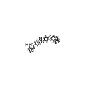 CC(Sc1nnn[nH]1)C1CCN(C(=O)Oc2ccc(Cc3ccc(C(F)(F)F)cc3)cc2)CC1